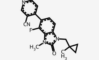 Cn1c(=O)n(CC2(C)CC2)c2ccc(-c3ccncc3C#N)c(F)c21